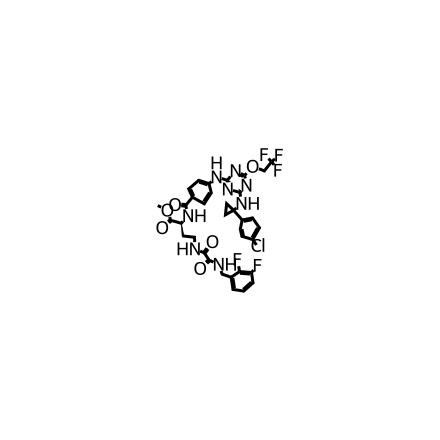 COC(=O)[C@H](CCNC(=O)C(=O)NCc1cccc(F)c1F)NC(=O)c1ccc(Nc2nc(NC3(c4ccc(Cl)cc4)CC3)nc(OCC(F)(F)F)n2)cc1